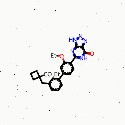 CCOC(=O)C1(Cc2cccc(-c3ccc(-c4nc5[nH]nnc5c(=O)[nH]4)c(OCC)c3)c2)CCC1